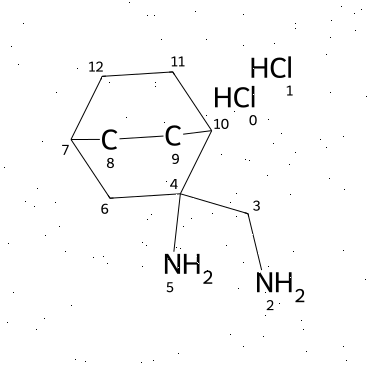 Cl.Cl.NCC1(N)CC2CCC1CC2